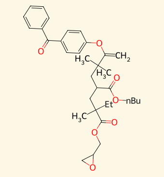 C=C(Oc1ccc(C(=O)c2ccccc2)cc1)C(C)(C)CC(CC(C)(CC)C(=O)OCC1CO1)C(=O)OCCCC